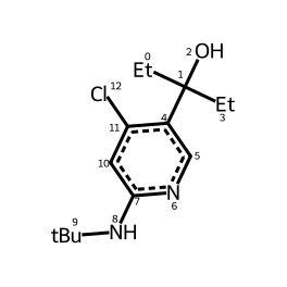 CCC(O)(CC)c1cnc(NC(C)(C)C)cc1Cl